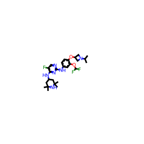 CC(C)N1CC(Oc2ccc(Nc3ncc(F)c(NC4CC(C)(C)NC(C)(C)C4)n3)cc2OC(F)F)C1